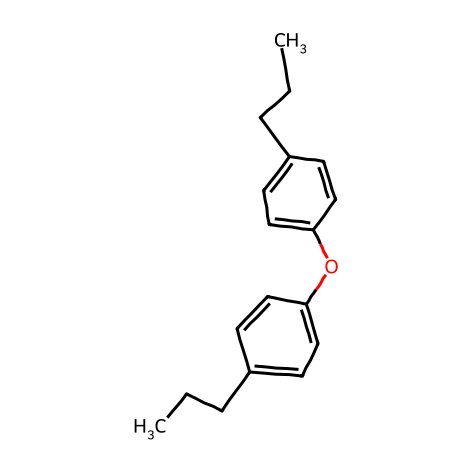 CCCc1ccc(Oc2ccc(CCC)cc2)cc1